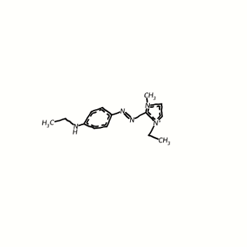 CCNc1ccc(N=Nc2n(C)cc[n+]2CC)cc1